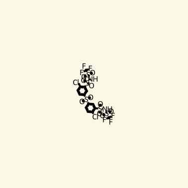 O=S(=O)(NS(=O)(=O)C(F)(F)F)c1cc(S(=O)(=O)c2ccc(Cl)c(S(=O)(=O)NS(=O)(=O)C(F)(F)F)c2)ccc1Cl